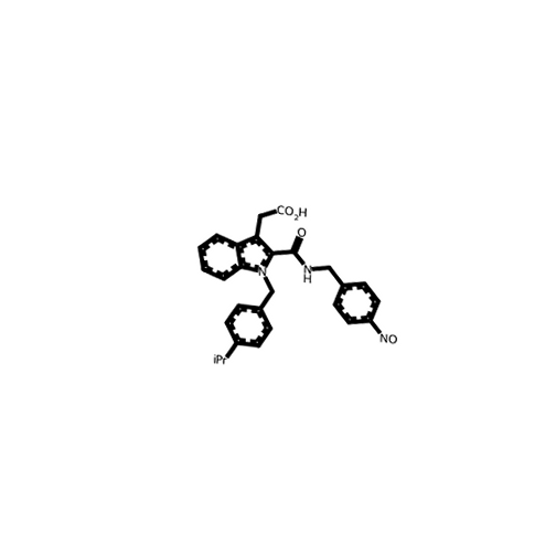 CC(C)c1ccc(Cn2c(C(=O)NCc3ccc(N=O)cc3)c(CC(=O)O)c3ccccc32)cc1